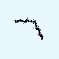 CC(CC(=O)OCCOC(=O)Nc1ccc(C(=O)OCCOC(=O)c2ccc(N=C=O)cc2)cc1)CC(=O)OCCOC(=O)Nc1ccc(C(=O)OCCOC(=O)c2ccc(N=C=O)cc2)cc1